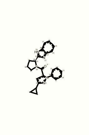 O=C(c1cc(C2CC2)nn1-c1ccccc1)N1CCC[C@H]1c1nc2ccccc2[nH]1